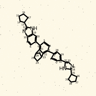 c1cc(-c2ccc(-c3ccc4nc(C5CCCC5)[nH]c4c3)c3c2C2CCC3C2)ccc1-c1cnc(C2CCCC2)[nH]1